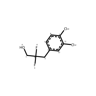 OCC(F)(F)Cc1ccc(Cl)c(Cl)c1